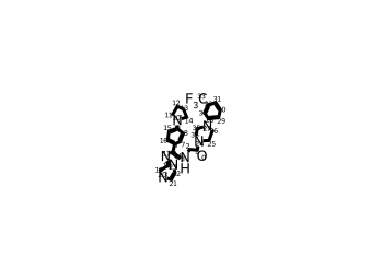 O=C(CNc1c(-c2ccc(N3CCCC3)cc2)nc2cnccn12)N1CCN(c2cccc(C(F)(F)F)c2)CC1